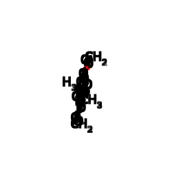 C=CC(=O)OCCCCOc1ccc(C(=O)O[C@@H]2CO[C@H]3[C@@H]2OC[C@H]3OC(=O)c2ccc(OCCCCOC(=O)C=C)cc2C)c(C)c1